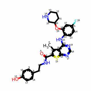 Cc1c(C(=O)NCCc2ccc(O)cc2)sc2ncnc(Nc3ccc(F)cc3OC3CCCNC3)c12